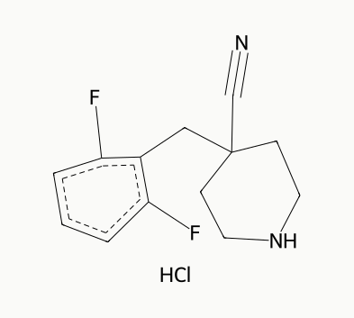 Cl.N#CC1(Cc2c(F)cccc2F)CCNCC1